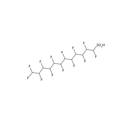 O=S(=O)(O)C(F)C(F)C(F)C(F)C(F)C(F)C(F)C(F)C(F)C(F)C(F)C(F)F